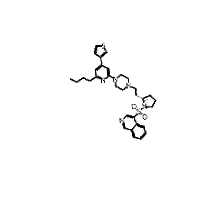 CCCCc1cc(-c2ccsc2)cc(N2CCN(CC[C@@H]3CCCN3S(=O)(=O)c3cncc4ccccc34)CC2)n1